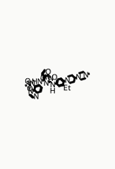 CCc1cc(Nc2nc(Nc3ccc4nccnc4c3N(C)S(C)(=O)=O)c3ccoc3n2)c(OC)cc1N1CCC(N2CCN(C)CC2)CC1